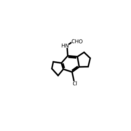 O=CNc1c2c(c(Cl)c3c1CCC3)CCC2